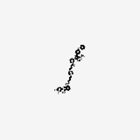 Nc1ncnc2c1c(-c1ccc(Oc3ccccc3)cc1)nn2[C@@H]1CCCN(C(=O)CCCN2CCN(CCCCCNc3cccc4c3CN(C3CCC(=O)NC3=O)C4=O)CC2)C1